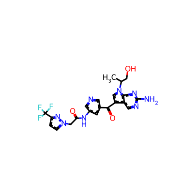 CC(CO)n1cc(C(=O)c2cncc(NC(=O)Cn3ccc(C(F)(F)F)n3)c2)c2cnc(N)nc21